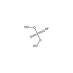 F.O=S(=O)(OO)OO